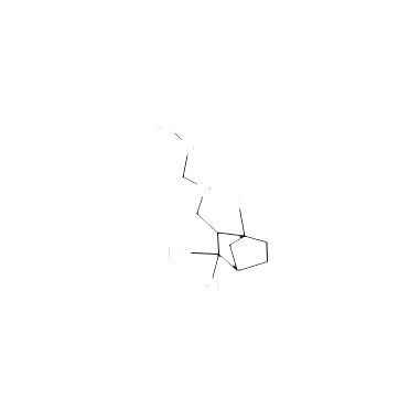 CCC(C)OCOCC1C2(C)CCC(C2)C1(C)C